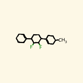 CC1CC=C(C2CCC(C3=CCCCC3)C(F)C2F)CC1